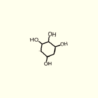 OC1[CH]C(O)C(O)C(O)C1